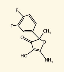 CC1(c2ccc(F)c(F)c2)OC(N)=C(O)C1=O